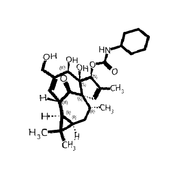 CC1=C[C@]23C(=O)[C@@H](C=C(CO)[C@@H](O)[C@]2(O)[C@H]1OC(=O)NC1CCCCC1)[C@H]1[C@@H](C[C@H]3C)C1(C)C